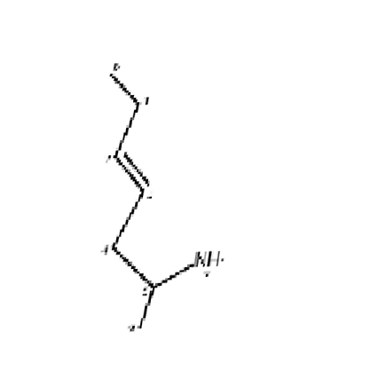 CCC=CCC(C)[NH]